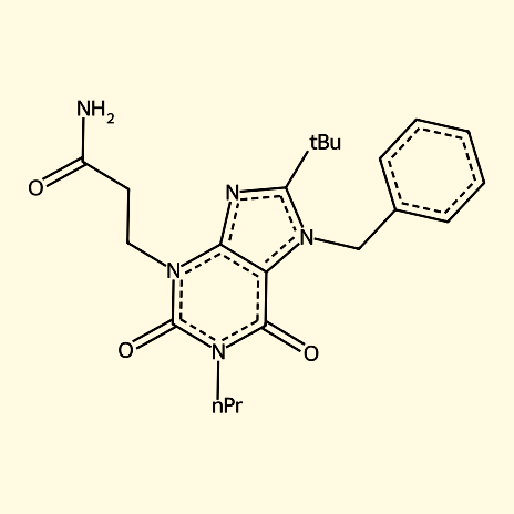 CCCn1c(=O)c2c(nc(C(C)(C)C)n2Cc2ccccc2)n(CCC(N)=O)c1=O